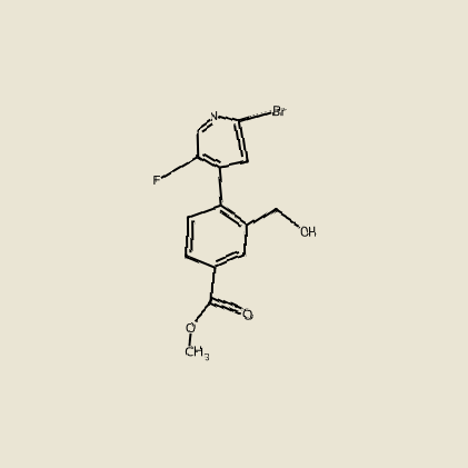 COC(=O)c1ccc(-c2cc(Br)ncc2F)c(CO)c1